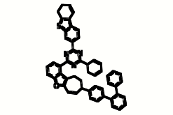 C1=CCC(c2nc(-c3ccc4c5c(sc4c3)CCC=C5)nc(-c3cccc4oc5c(c34)CCC(c3ccc(-c4ccccc4-c4ccccc4)cc3)C=C5)n2)C=C1